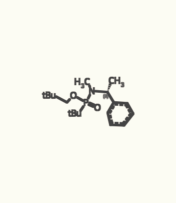 C[C@H](c1ccccc1)N(C)P(=O)(OCC(C)(C)C)C(C)(C)C